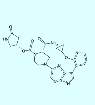 NC(=O)[C@@H]1CN(c2ccn3ncc(-c4cccnc4OC4CC4)c3n2)CCN1C(=O)O[C@@H]1CNC(=O)C1